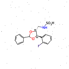 O=S(=O)(O)NC[C@H]1OC(c2ccccc2)O[C@@H]1c1ccccc1I